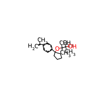 C=C(C)c1ccc(C2(OC(C)(C)C(C)(C)O)CCCC2)cc1